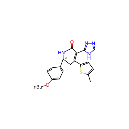 CCCCOc1ccc([C@]2(C)CC(c3ccc(C)s3)=C(c3nnc[nH]3)C(=O)N2)cc1